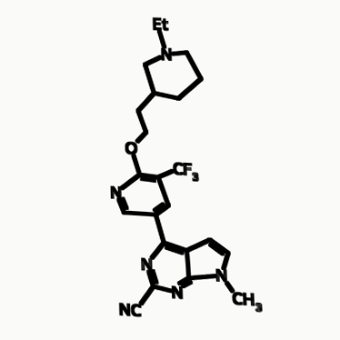 CCN1CCCC(CCOc2ncc(-c3nc(C#N)nc4c3ccn4C)cc2C(F)(F)F)C1